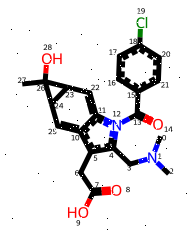 CN(C)Cc1c(CC(=O)O)c2c(n1C(=O)c1ccc(Cl)cc1)=CC1C(C=2)C1(C)O